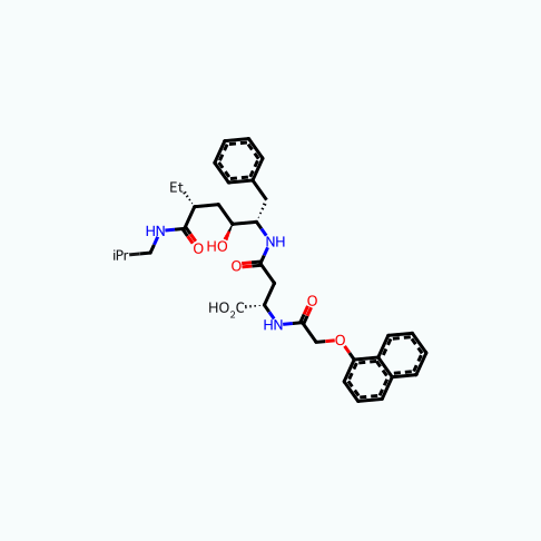 CC[C@H](C[C@H](O)[C@H](Cc1ccccc1)NC(=O)C[C@H](NC(=O)COc1cccc2ccccc12)C(=O)O)C(=O)NCC(C)C